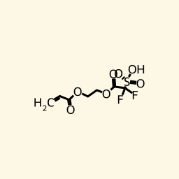 C=CC(=O)OCCOC(=O)C(F)(F)S(=O)(=O)O